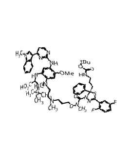 COc1cc(N(C)CCN(C)CCCON(C)C(=O)N2N=C(c3cc(F)ccc3F)S[C@@]2(CCCNC(=O)OC(C)(C)C)c2ccccc2)c(NC(C[Si](C)(C)C)C(=O)O)cc1Nc1nccc(-c2cn(C)c3ccccc23)n1